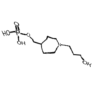 O=P(O)(O)OCC1CCN(CCCO)CC1